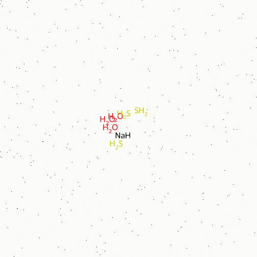 O.O.O.S.S.S.[NaH]